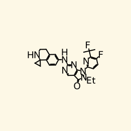 CCn1c(=O)c2cnc(Nc3ccc4c(c3)CCNC43CC3)nc2n1-c1ccc(F)c(C(C)(C)F)n1